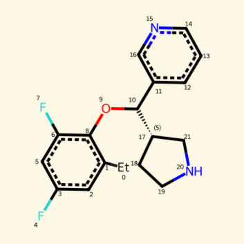 CCc1cc(F)cc(F)c1OC(c1cccnc1)[C@H]1CCNC1